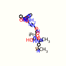 Cc1ncsc1-c1ccc(C2(NC(=O)[C@@H]3C[C@@H](O)CN3C(=O)[C@H](c3cc(OCCN4CCN(CCOc5cc(N6C7CCC6CN(c6cc(-c8ccccc8O)nnc6N)C7)ccn5)CC4)no3)C(C)C)CN(C)C2)cc1